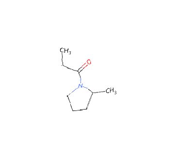 C[CH]C(=O)N1CCCC1C